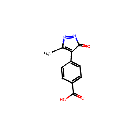 CC1=C(c2ccc(C(=O)O)cc2)C(=O)N=N1